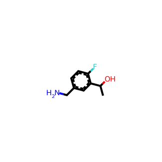 CC(O)c1cc(CN)ccc1F